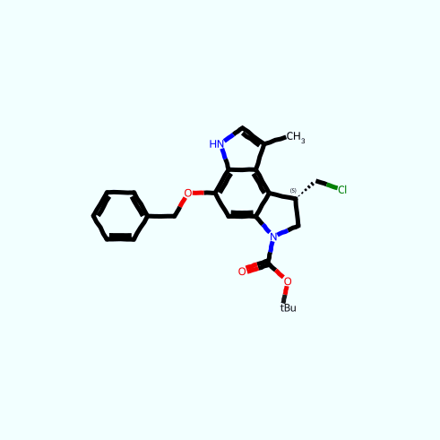 Cc1c[nH]c2c(OCc3ccccc3)cc3c(c12)[C@H](CCl)CN3C(=O)OC(C)(C)C